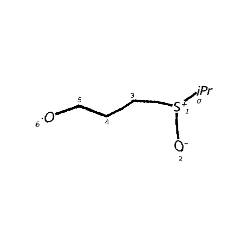 CC(C)[S+]([O-])CCC[O]